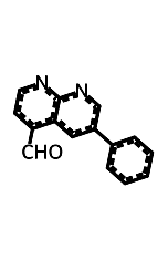 O=Cc1ccnc2ncc(-c3ccccc3)cc12